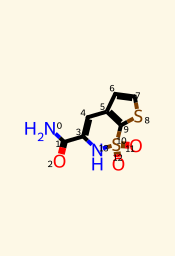 NC(=O)C1=Cc2ccsc2S(=O)(=O)N1